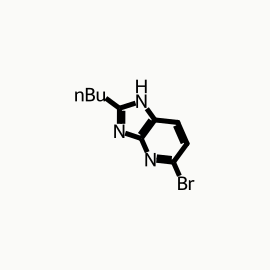 CCCCc1nc2nc(Br)ccc2[nH]1